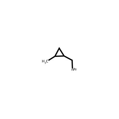 CCCCC1C[C]1C